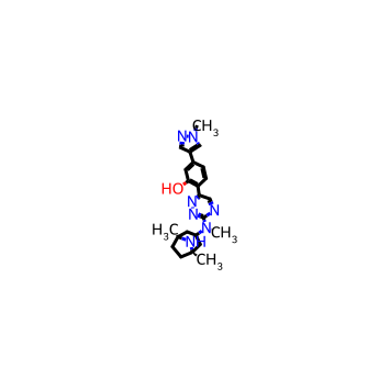 CN(c1ncc(-c2ccc(-c3cnn(C)c3)cc2O)nn1)C1C[C@]2(C)CC[C@](C)(C1)N2